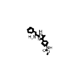 COC(=O)Nc1ccc(-c2nc([C@@H](N)Cc3ccccc3)[nH]c2C)cc1